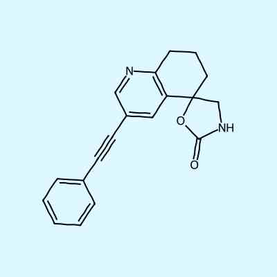 O=C1NCC2(CCCc3ncc(C#Cc4ccccc4)cc32)O1